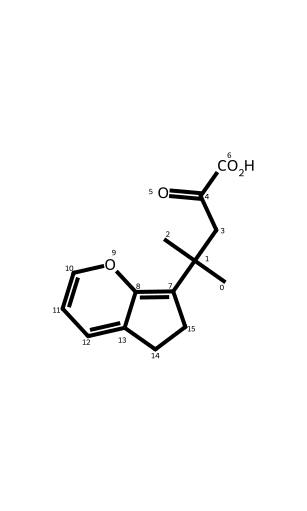 CC(C)(CC(=O)C(=O)O)C1=C2OC=CC=C2CC1